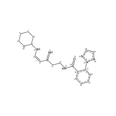 N=C(/C=C\NC1CCCCO1)CCNC(=O)c1ccccc1-n1nccn1